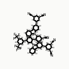 N#Cc1cc(C#N)cc(-c2ccc3c(c2)c2ccccc2n3-c2cc(C#N)ccc2-c2ccc(-c3cc(C(F)(F)F)cc(C(F)(F)F)c3)cc2-n2c3ccccc3c3cc(-c4cc(C#N)cc(C#N)c4)ccc32)c1